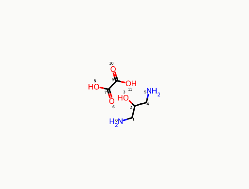 NCC(O)CN.O=C(O)C(=O)O